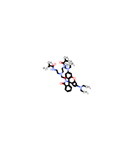 C=C(C)C(=O)NCCN(CCNC(=O)C(=C)C)CCN1C(=O)c2ccccc2C12c1ccc(N(CC)CC)cc1Oc1cc(N(CC)CC)ccc12